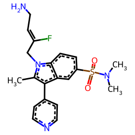 Cc1c(-c2ccncc2)c2cc(S(=O)(=O)N(C)C)ccc2n1C/C(F)=C/CN